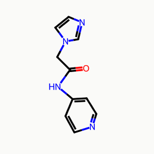 O=C(Cn1ccnc1)Nc1ccncc1